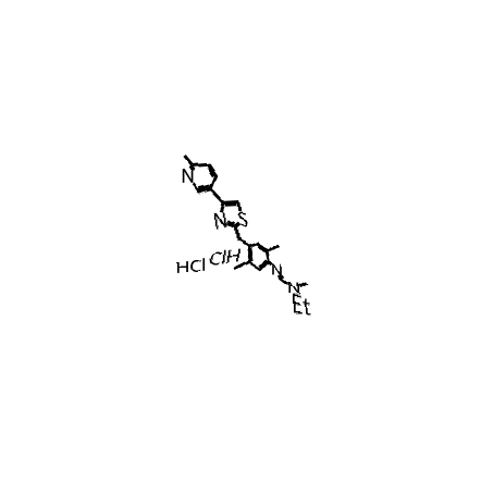 CCN(C)C=Nc1cc(C)c(Cc2nc(-c3ccc(C)nc3)cs2)cc1C.Cl.Cl